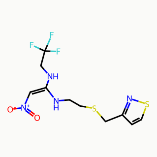 O=[N+]([O-])/C=C(\NCCSCc1ccsn1)NCC(F)(F)F